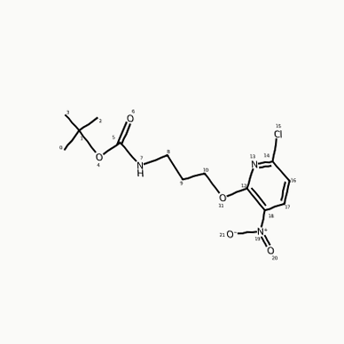 CC(C)(C)OC(=O)NCCCOc1nc(Cl)ccc1[N+](=O)[O-]